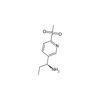 CC[C@H](N)c1ccc(S(C)(=O)=O)nc1